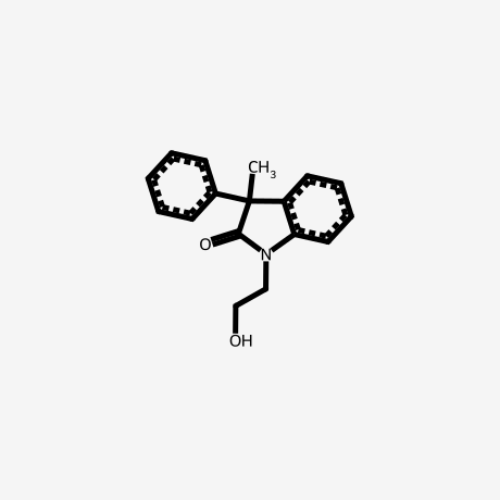 CC1(c2ccccc2)C(=O)N(CCO)c2ccccc21